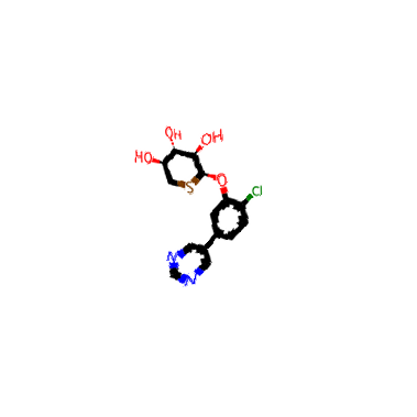 O[C@@H]1[C@@H](O)[C@@H](Oc2cc(-c3cncnc3)ccc2Cl)SC[C@H]1O